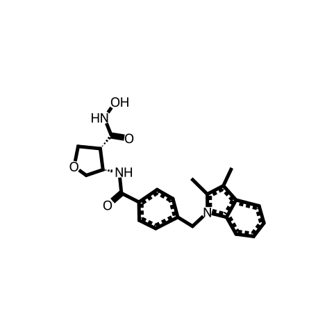 Cc1c(C)n(Cc2ccc(C(=O)N[C@@H]3COC[C@@H]3C(=O)NO)cc2)c2ccccc12